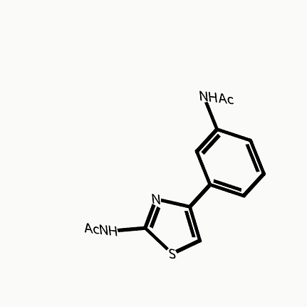 CC(=O)Nc1cccc(-c2csc(NC(C)=O)n2)c1